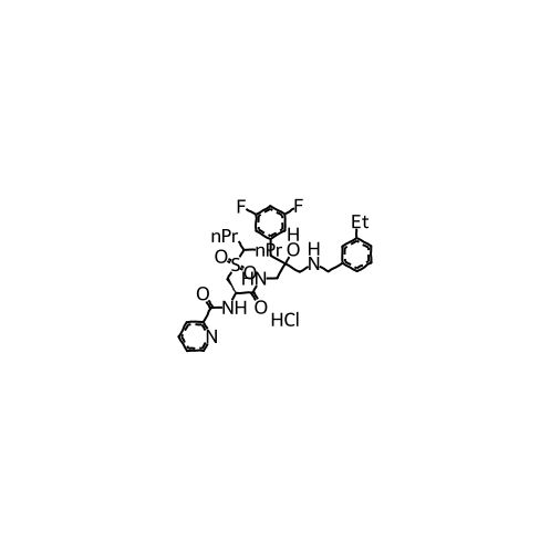 CCCC(CCC)S(=O)(=O)C[C@H](NC(=O)c1ccccn1)C(=O)NCC(O)(CNCc1cccc(CC)c1)Cc1cc(F)cc(F)c1.Cl